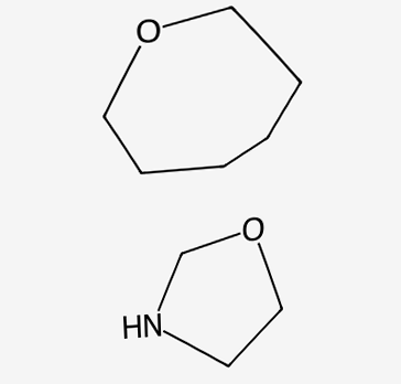 C1CCCOCC1.C1COCN1